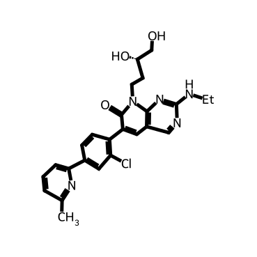 CCNc1ncc2cc(-c3ccc(-c4cccc(C)n4)cc3Cl)c(=O)n(CC[C@H](O)CO)c2n1